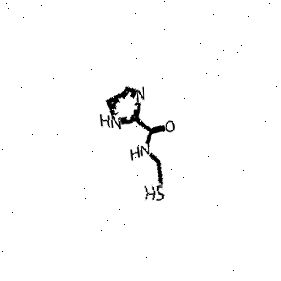 O=C(NCS)c1ncc[nH]1